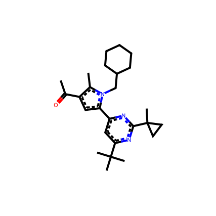 CC(=O)c1cc(-c2cc(C(C)(C)C)nc(C3(C)CC3)n2)n(CC2CCCCC2)c1C